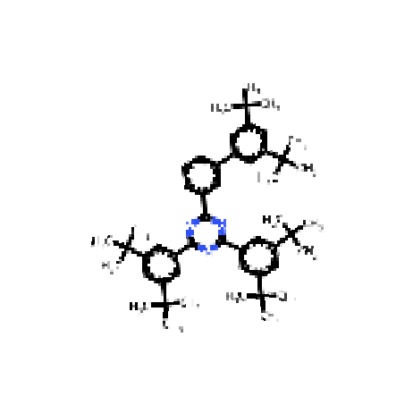 CC(C)(C)c1cc(-c2cccc(-c3nc(-c4cc(C(C)(C)C)cc(C(C)(C)C)c4)nc(-c4cc(C(C)(C)C)cc(C(C)(C)C)c4)n3)c2)cc(C(C)(C)C)c1